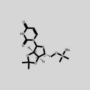 CC1(C)O[C@@H]2[C@@H](CO[Si](C)(C)C(C)(C)C)SC(n3ccc(=O)[nH]c3=O)[C@@H]2O1